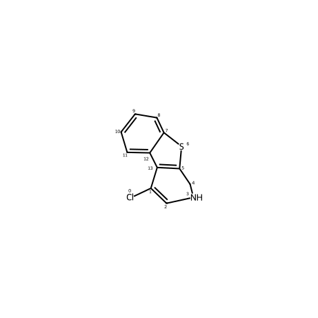 ClC1=CNCc2sc3ccccc3c21